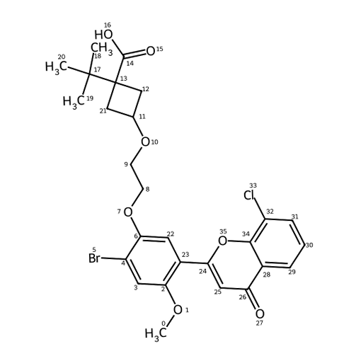 COc1cc(Br)c(OCCOC2CC(C(=O)O)(C(C)(C)C)C2)cc1-c1cc(=O)c2cccc(Cl)c2o1